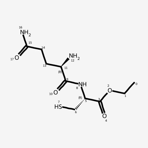 CCOC(=O)[C@H](CS)NC(=O)[C@H](N)CCC(N)=O